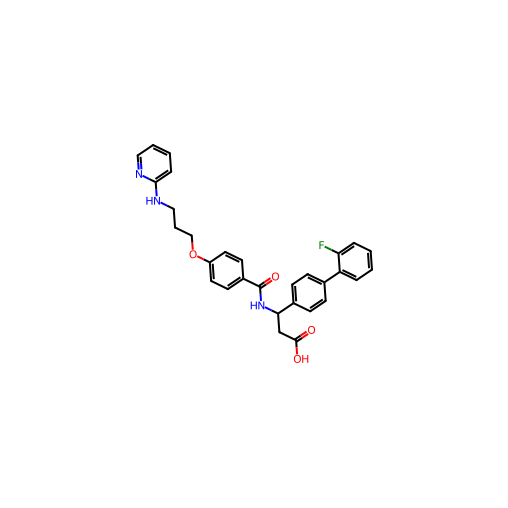 O=C(O)CC(NC(=O)c1ccc(OCCCNc2ccccn2)cc1)c1ccc(-c2ccccc2F)cc1